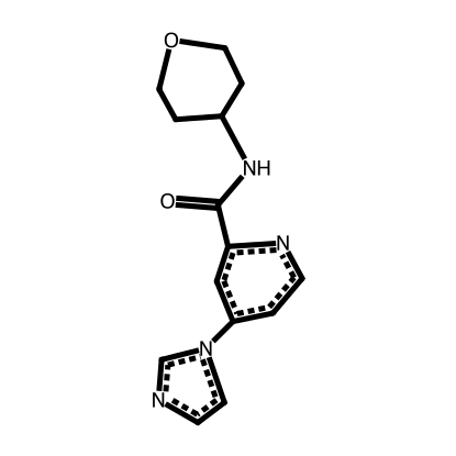 O=C(NC1CCOCC1)c1cc(-n2ccnc2)ccn1